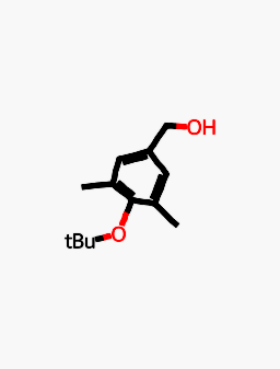 Cc1cc(CO)cc(C)c1OC(C)(C)C